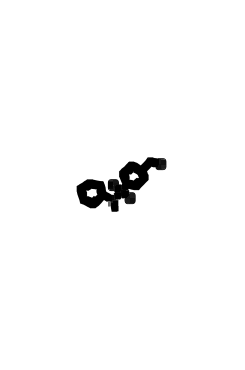 CN(c1ccccc1)S(=O)(=O)c1ccc(C=O)cc1